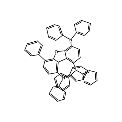 c1ccc(-c2ccc(N(c3ccccc3)c3ccccc3)c3c2oc2c(N(c4ccccc4)c4ccccc4)ccc(N(c4ccccc4)c4ccccc4)c23)cc1